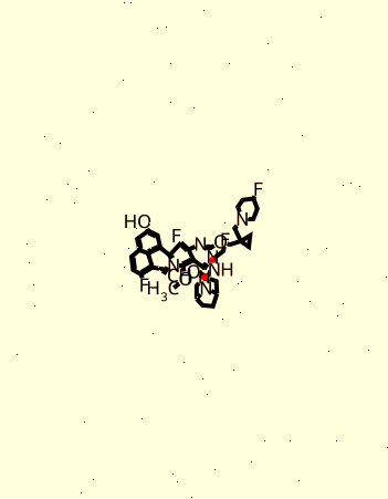 C#Cc1c(F)ccc2cc(O)cc(-c3nc(OC)c4c(N5CC6CCC(C5)N6C(=O)NCCF)nc(OCC5(CN6CCC(F)CC6)CC5)nc4c3F)c12